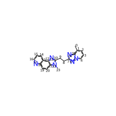 Cc1cccn2nc(CCc3nc4c5cccnc5ccc4n3C)nc12